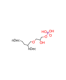 CCCCCCCCCCCCC(CCCCCCCCCC)COCC(O)COP(=O)(O)O